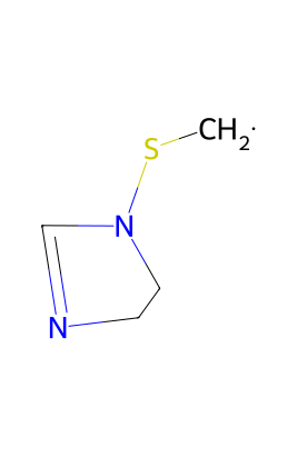 [CH2]SN1C=NCC1